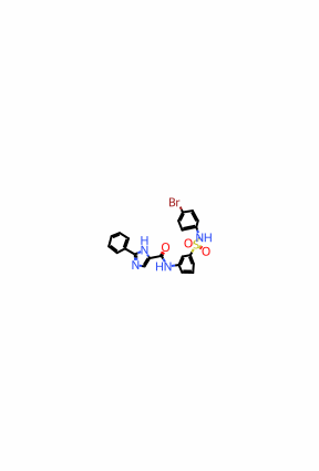 O=C(Nc1cccc(S(=O)(=O)Nc2ccc(Br)cc2)c1)c1cnc(-c2ccccc2)[nH]1